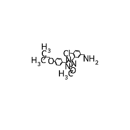 COc1nc(-c2ccc(OCC(C)C)cc2)nc(-c2cc(CN)ccc2Cl)n1